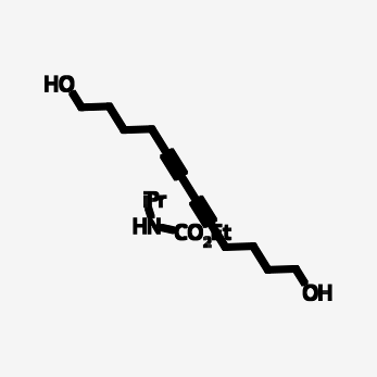 CCOC(=O)NC(C)C.OCCCCC#CC#CCCCCO